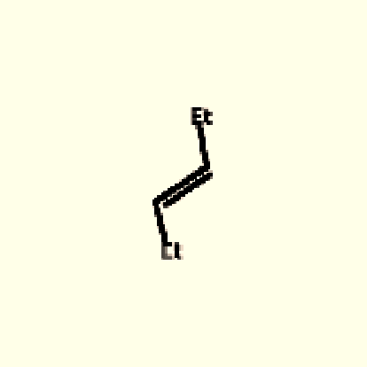 [CH2]CC=CCC